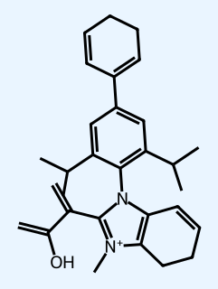 C=C(O)C(=C)c1n(-c2c(C(C)C)cc(C3=CCCC=C3)cc2C(C)C)c2c([n+]1C)CCC=C2